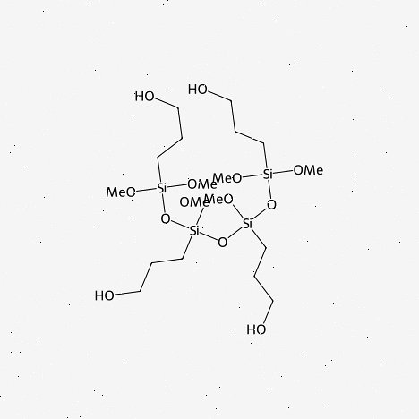 CO[Si](CCCO)(OC)O[Si](CCCO)(OC)O[Si](CCCO)(OC)O[Si](CCCO)(OC)OC